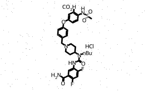 CCCCN(C(=O)Nc1cc(C(N)=O)c(F)cc1F)C1CCN(Cc2ccc(Oc3ccc(NS(C)(=O)=O)c(C(=O)O)c3)cc2)CC1.Cl